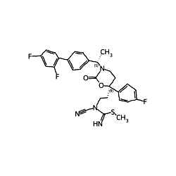 CSC(=N)N(C#N)CC[C@@]1(c2ccc(F)cc2)CCN([C@@H](C)c2ccc(-c3ccc(F)cc3F)cc2)C(=O)O1